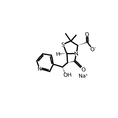 CC1(C)S[C@@H]2[C@@H]([C@H](O)c3cccnc3)C(=O)N2[C@H]1C(=O)[O-].[Na+]